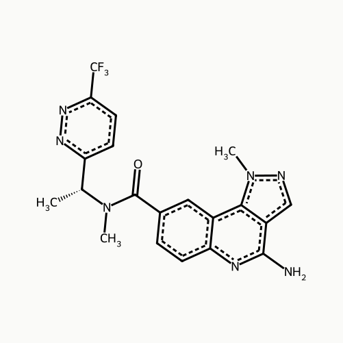 C[C@H](c1ccc(C(F)(F)F)nn1)N(C)C(=O)c1ccc2nc(N)c3cnn(C)c3c2c1